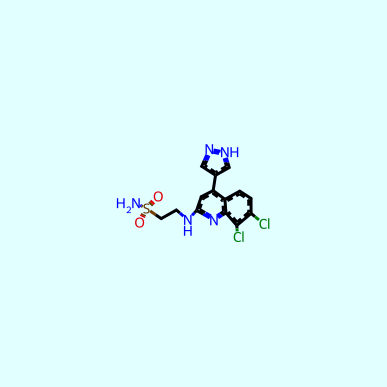 NS(=O)(=O)CCNc1cc(-c2cn[nH]c2)c2ccc(Cl)c(Cl)c2n1